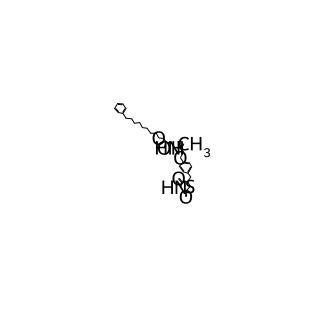 CC(COc1ccc(CC2SC(=O)NC2=O)cc1)NCC(O)COCCCCCCCCc1ccccc1